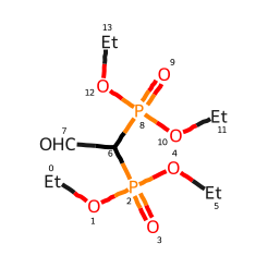 CCOP(=O)(OCC)C(C=O)P(=O)(OCC)OCC